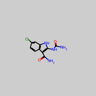 NC(=O)Nc1[nH]c2cc(Cl)ccc2c1C(N)=O